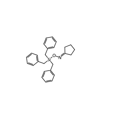 c1ccc(C[Si](Cc2ccccc2)(Cc2ccccc2)ON=C2CCCC2)cc1